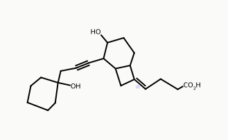 O=C(O)CC/C=C1/CC2C1CCC(O)C2C#CCC1(O)CCCCC1